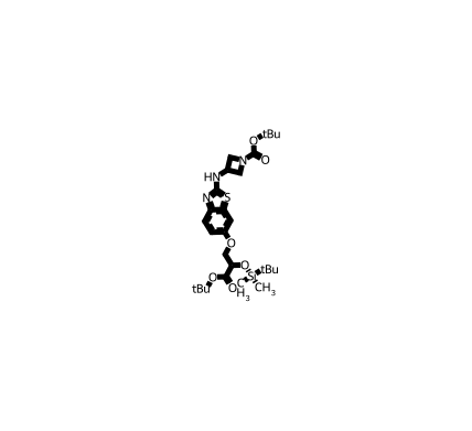 CC(C)(C)OC(=O)C(COc1ccc2nc(NC3CN(C(=O)OC(C)(C)C)C3)sc2c1)O[Si](C)(C)C(C)(C)C